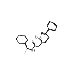 C[C@@H](NC(=O)Cc1ccc(-c2ccccc2)c[n+]1[O-])C1CCCCC1